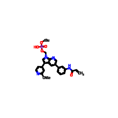 C=CC(=O)Nc1cccc(-c2cnc3c(c2)c(-c2ccnc(OC)c2)cn3COP(=O)(O)OC(C)(C)C)c1